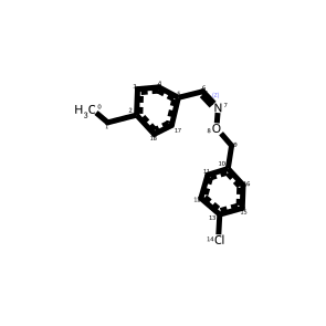 CCc1ccc(/[C]=N\OCc2ccc(Cl)cc2)cc1